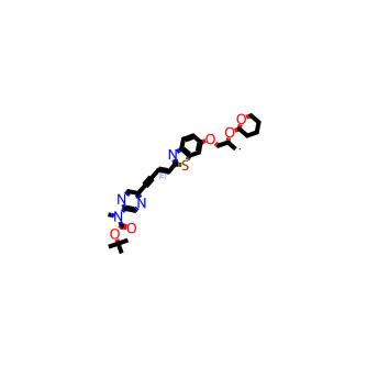 [CH2]C(COc1ccc2nc(/C=C/C#Cc3cnc(N(C)C(=O)OC(C)(C)C)cn3)sc2c1)OC1CCCCO1